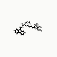 CCC(CCCCCC(=O)OC(C)(C)C)C(=O)OCC1c2ccccc2-c2ccccc21